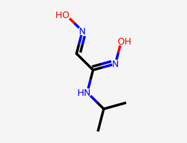 CC(C)NC(C=NO)=NO